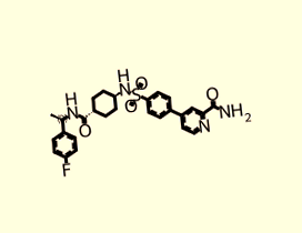 C[C@@H](NC(=O)[C@H]1CC[C@H](NS(=O)(=O)c2ccc(-c3ccnc(C(N)=O)c3)cc2)CC1)c1ccc(F)cc1